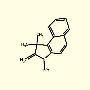 C=C1N(CCC)c2ccc3ccccc3c2C1(C)C